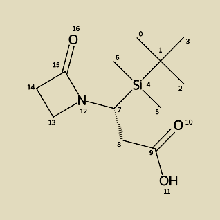 CC(C)(C)[Si](C)(C)[C@H](CC(=O)O)N1CCC1=O